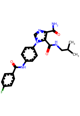 CC(C)CNC(=O)c1c(C(N)=O)ncn1-c1ccc(NC(=O)c2ccc(F)cc2)cc1